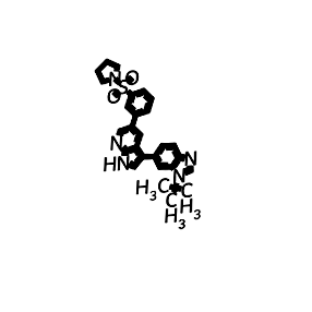 CC(C)(C)n1cnc2ccc(-c3c[nH]c4ncc(-c5cccc(S(=O)(=O)N6CCCC6)c5)cc34)cc21